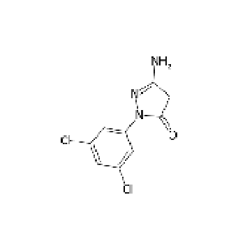 NC1=NN(c2cc(Cl)cc(Cl)c2)C(=O)C1